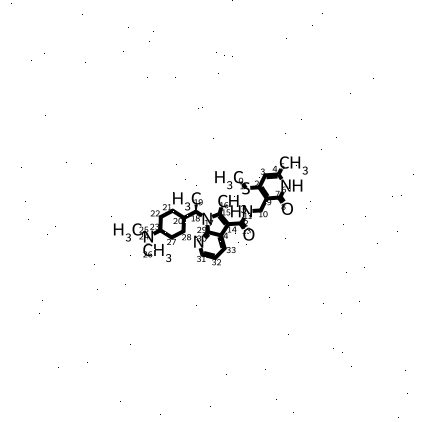 CSc1cc(C)[nH]c(=O)c1CNC(=O)c1c(C)n([C@H](C)C2CCC(N(C)C)CC2)c2ncccc12